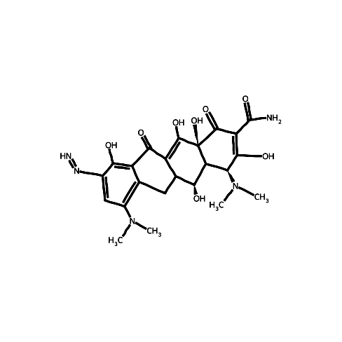 CN(C)c1cc(N=N)c(O)c2c1CC1C(=C(O)[C@]3(O)C(=O)C(C(N)=O)=C(O)[C@@H](N(C)C)C3[C@H]1O)C2=O